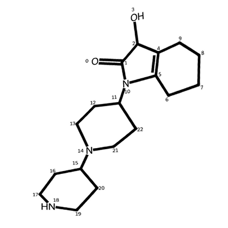 O=C1C(O)C2=C(CCCC2)N1C1CCN(C2CCNCC2)CC1